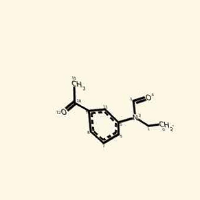 [CH2]CN(C=O)c1cccc(C(C)=O)c1